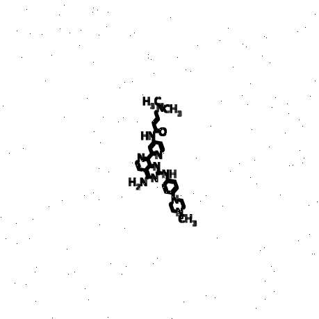 CN(C)CC=CC(=O)Nc1ccnc(-c2nccc3c(N)nc(Nc4ccc(N5CCN(C)CC5)cc4)nc23)c1